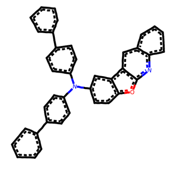 c1ccc(-c2ccc(N(c3ccc(-c4ccccc4)cc3)c3ccc4oc5nc6ccccc6cc5c4c3)cc2)cc1